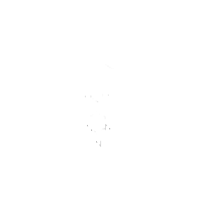 CCN(C)c1ncc(C(=O)OCCC(C)=C(F)F)c(C)n1